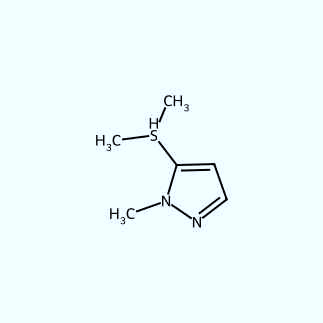 Cn1nccc1[SH](C)C